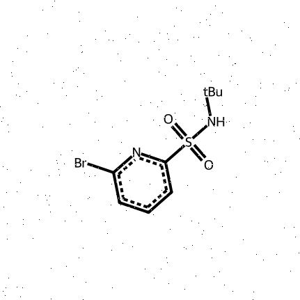 CC(C)(C)NS(=O)(=O)c1cccc(Br)n1